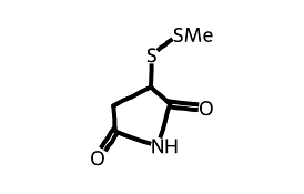 CSSC1CC(=O)NC1=O